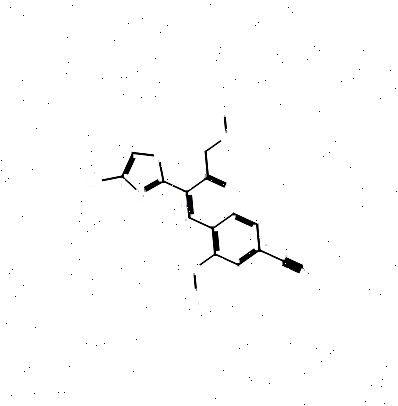 COCC(=O)/C(=C\c1ccc(C#N)cc1OC)c1nc(C)cs1